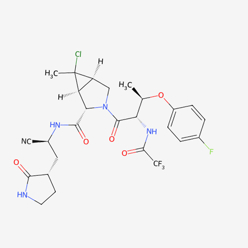 C[C@@H](Oc1ccc(F)cc1)[C@H](NC(=O)C(F)(F)F)C(=O)N1C[C@H]2[C@@H]([C@H]1C(=O)N[C@H](C#N)C[C@@H]1CCNC1=O)C2(C)Cl